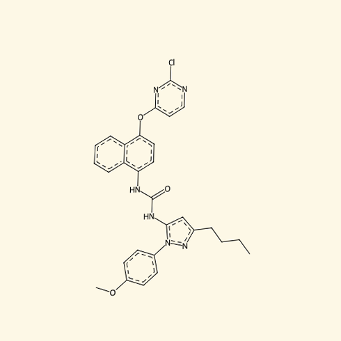 CCCCc1cc(NC(=O)Nc2ccc(Oc3ccnc(Cl)n3)c3ccccc23)n(-c2ccc(OC)cc2)n1